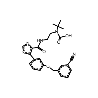 CC(C)(C)N(CCNC(=O)c1ncsc1-c1cccc(OCc2cccc(C#N)c2)c1)C(=O)O